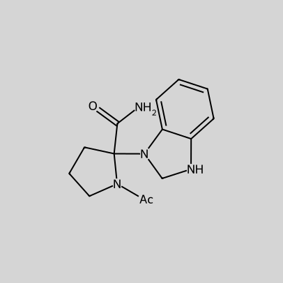 CC(=O)N1CCCC1(C(N)=O)N1CNc2ccccc21